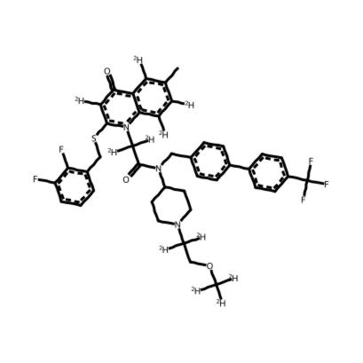 [2H]c1c(C)c([2H])c2c(=O)c([2H])c(SCc3cccc(F)c3F)n(C([2H])([2H])C(=O)N(Cc3ccc(-c4ccc(C(F)(F)F)cc4)cc3)C3CCN(C([2H])([2H])COC([2H])([2H])[2H])CC3)c2c1[2H]